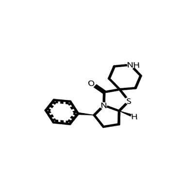 O=C1N2[C@@H](CC[C@H]2c2ccccc2)SC12CCNCC2